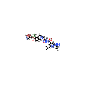 CC(C)Cc1cc(C(=O)NCC(O)CN2CCc3c(ccc(OCc4cnco4)c3Cl)C2)cc(NC2CCC2)n1